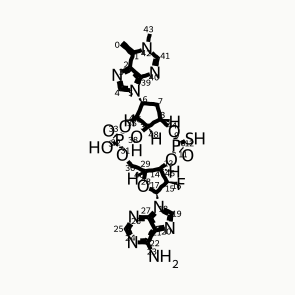 C=C1c2ncn([C@@H]3C[C@@H]4OP(=O)(S)O[C@H]5[C@@H](F)[C@H](n6cnc7c(N)ncnc76)O[C@@H]5COP(=O)(O)O[C@@H]3[C@@H]4O)c2N=CN1C